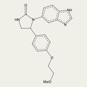 COCCOc1ccc(C2CNC(=O)N2c2ccc3[nH]cnc3c2)cc1